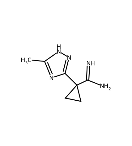 Cc1nc(C2(C(=N)N)CC2)n[nH]1